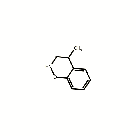 CC1[C]NOc2ccccc21